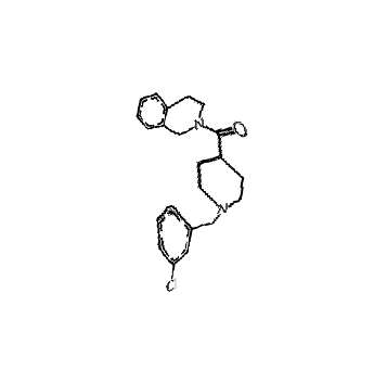 O=C(C1CCN(Cc2cccc(Cl)c2)CC1)N1CCc2ccccc2C1